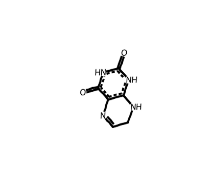 O=c1[nH]c2c(c(=O)[nH]1)N=CCN2